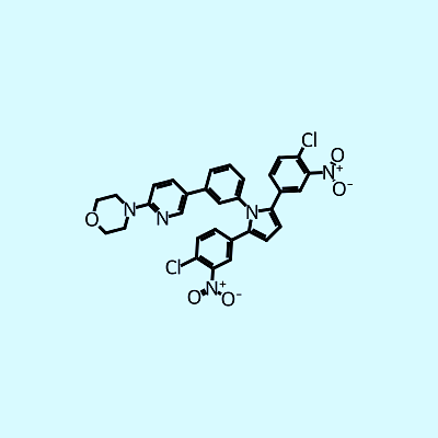 O=[N+]([O-])c1cc(-c2ccc(-c3ccc(Cl)c([N+](=O)[O-])c3)n2-c2cccc(-c3ccc(N4CCOCC4)nc3)c2)ccc1Cl